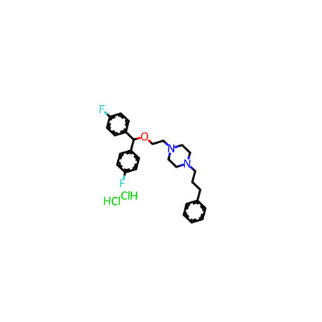 Cl.Cl.Fc1ccc(C(OCCN2CCN(CCCc3ccccc3)CC2)c2ccc(F)cc2)cc1